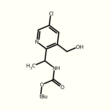 CC(NC(=O)OC(C)(C)C)c1ncc(Cl)cc1CO